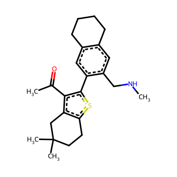 CNCc1cc2c(cc1-c1sc3c(c1C(C)=O)CC(C)(C)CC3)CCCC2